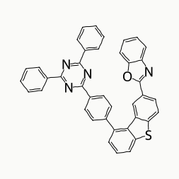 c1ccc(-c2nc(-c3ccccc3)nc(-c3ccc(-c4cccc5sc6ccc(-c7nc8ccccc8o7)cc6c45)cc3)n2)cc1